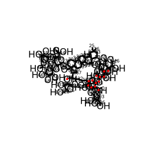 CCC(C)C(CC(O)CC(=O)O[C@@H]1[C@H](O)[C@H](C)O[C@H](OC(=O)[C@@H]2CC(C)(C)C[C@@H]3C4=CCC5[C@@]6(C)CC[C@H](O[C@@H]7O[C@H](C(=O)O)[C@@H](O)[C@H](O[C@H]8OC[C@@H](O)[C@H](O)[C@H]8O)[C@H]7O[C@@H]7O[C@H](CO)[C@H](O)[C@H](O)[C@H]7O)[C@@](C)(C=O)[C@@H]6CC[C@@]5(C)[C@]4(C)C[C@@H](O)C32)[C@H]1O[C@@H]1O[C@@H](C)[C@H](O[C@H]2OC[C@@H](O)[C@H](O[C@H]3OC[C@](O)(CO)[C@H]3O)[C@H]2O)[C@@H](O)[C@H]1O)OC(=O)CC(O)CC(O[C@@H]1O[C@@H](CO)[C@H](O)[C@H]1O)C(C)CC